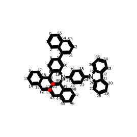 c1ccc2c(-c3ccc(-c4cccc5ccccc45)c(N(c4ccc(-n5c6ccccc6c6ccccc65)cc4)c4cccc5ccccc45)c3)cccc2c1